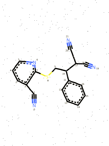 N#Cc1cccnc1SCC(c1ccccc1)C(C#N)C#N